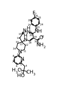 CC(C)(O)Cc1cccc(N2CCC(CC#N)(N/C=C(\C(=N)Nc3ccc(F)cc3)C(N)=O)CC2)n1